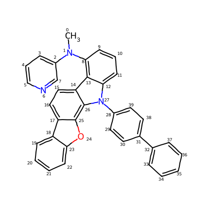 CN(c1cccnc1)c1cccc2c1c1ccc3c4ccccc4oc3c1n2-c1ccc(-c2ccccc2)cc1